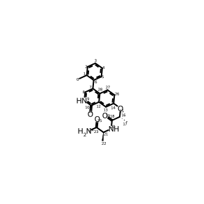 Cc1ccccc1-c1c[nH]c(=O)c2cc(O[C@H](C)C(=O)N[C@@H](C)C(N)=O)ccc12